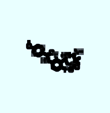 COc1cnc(C(=O)Nc2ccc(F)c([C@]3(C)CS(=O)(=O)C(C)(C)C(=N)N3)c2F)cn1